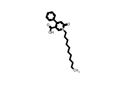 CCCCCCCCCCCn1cc(C(=O)O)c(-c2ccccc2)cc1=O